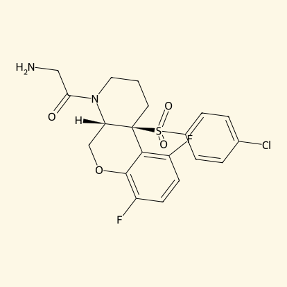 NCC(=O)N1CCC[C@]2(S(=O)(=O)c3ccc(Cl)cc3)c3c(F)ccc(F)c3OC[C@H]12